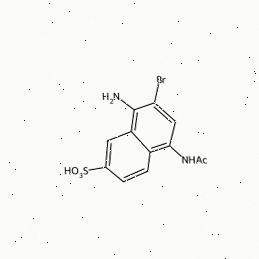 CC(=O)Nc1cc(Br)c(N)c2cc(S(=O)(=O)O)ccc12